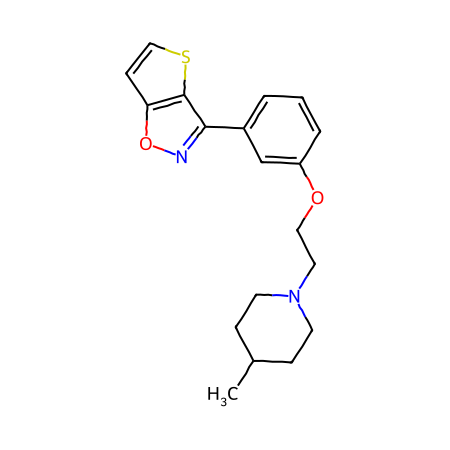 CC1CCN(CCOc2cccc(-c3noc4ccsc34)c2)CC1